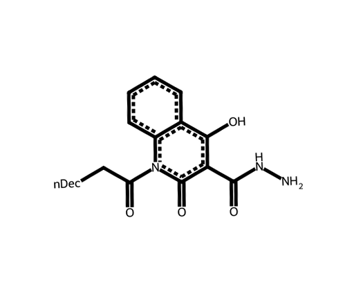 CCCCCCCCCCCC(=O)n1c(=O)c(C(=O)NN)c(O)c2ccccc21